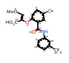 COC=C(Oc1ccc(Cl)cc1C(=O)Nc1cccc(C(F)(F)F)c1)C(=O)O